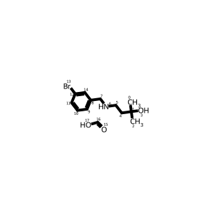 CC(C)(O)CCNCc1cccc(Br)c1.O=CO